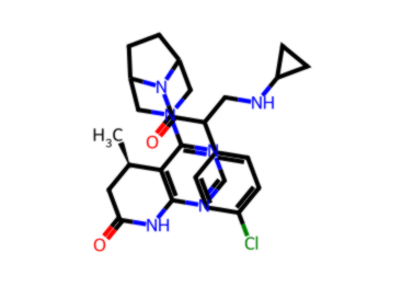 C[C@@H]1CC(=O)Nc2ncnc(N3CC4CCC(C3)N4C(=O)C(CNC3CC3)c3ccc(Cl)cc3)c21